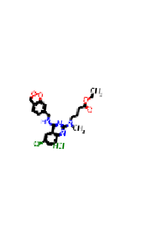 CCOC(=O)CCCN(C)c1nc(NCc2ccc3c(c2)OOC3)c2cc(Cl)ccc2n1.Cl